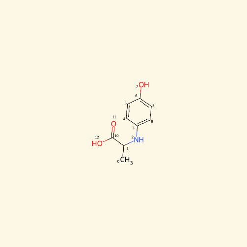 CC(Nc1ccc(O)cc1)C(=O)O